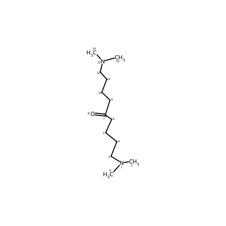 CN(C)CCCCC(=O)CCCCN(C)C